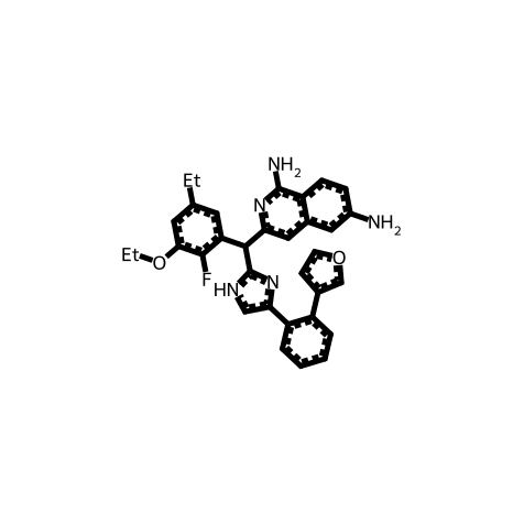 CCOc1cc(CC)cc(C(c2cc3cc(N)ccc3c(N)n2)c2nc(-c3ccccc3-c3ccoc3)c[nH]2)c1F